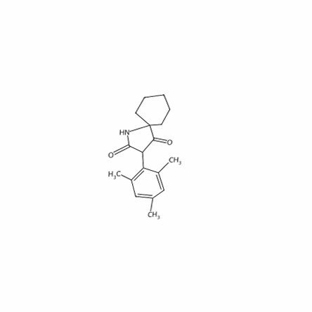 Cc1cc(C)c(C2C(=O)NC3(CCCCC3)C2=O)c(C)c1